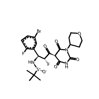 CC(C)(C)[S@@+]([O-])N[C@@H](c1cc(Br)ccc1F)[C@@H](F)C(=O)[C@@H]1C(=O)NC(=O)N(C2CCOCC2)C1=O